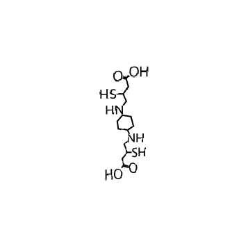 O=C(O)CC(S)CNC1CCC(NCC(S)CC(=O)O)CC1